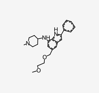 COCCOCc1cc(NC2CCN(C)CC2)c2[nH]c(-c3ccccc3)cc2c1